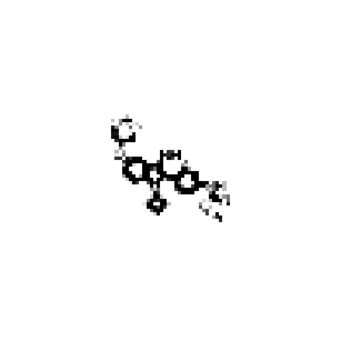 CC(C)OC(=O)Nc1ccc(-c2c(N)c3cc(OC4COCOC4)ccc3n2C2CCC2)cc1